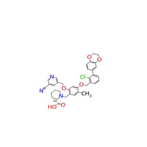 Cc1cc(CN2CCCC[C@H]2C(=O)O)c(OCc2cncc(C#N)c2)cc1OCc1cccc(-c2ccc3c(c2)OCCO3)c1Cl